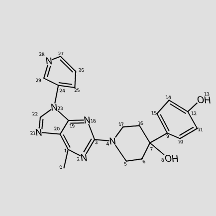 Cc1nc(N2CCC(O)(c3ccc(O)cc3)CC2)nc2c1ncn2-c1cccnc1